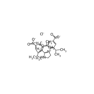 CC(C)c1cc([N+](=O)[O-])cc(C(C)C)c1C1=[N+](c2c(C(C)C)cc([N+](=O)[O-])cc2C(C)C)CCN1.[Cl-]